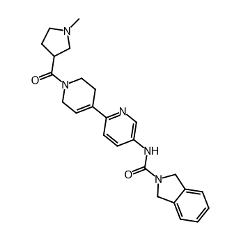 CN1CCC(C(=O)N2CC=C(c3ccc(NC(=O)N4Cc5ccccc5C4)cn3)CC2)C1